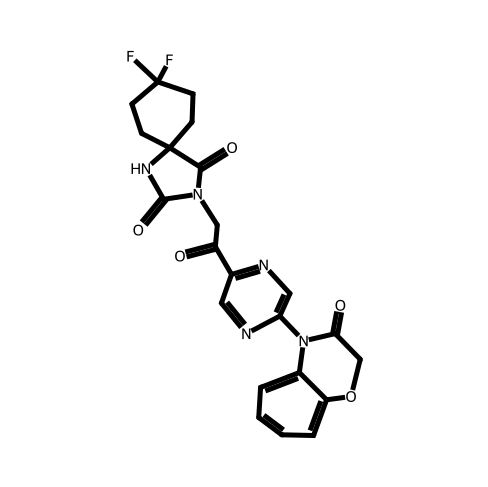 O=C(CN1C(=O)NC2(CCC(F)(F)CC2)C1=O)c1cnc(N2C(=O)COc3ccccc32)cn1